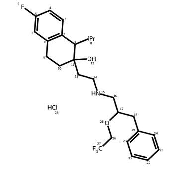 CC(C)C1c2ccc(F)cc2CCC1(O)CCNCC(Cc1ccccc1)OCC(F)(F)F.Cl